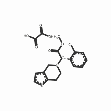 COC(=O)[C@H](c1ccccc1Cl)N1CCc2sccc2C1.O=C(O)C(=O)O